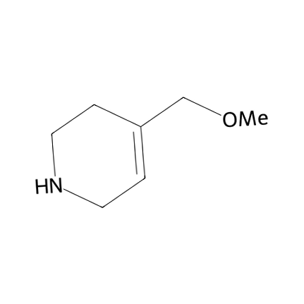 COCC1=CCNCC1